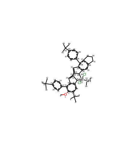 COc1c(C(C)(C)C)cc2c(c1-c1ccc(C(C)(C)C)cc1)C=C(C)[CH]2[Hf]([Cl])([Cl])([CH]1C(C)=Cc2c1cc1c(c2-c2ccc(C(C)(C)C)cc2)CCC1)[SiH](C)C